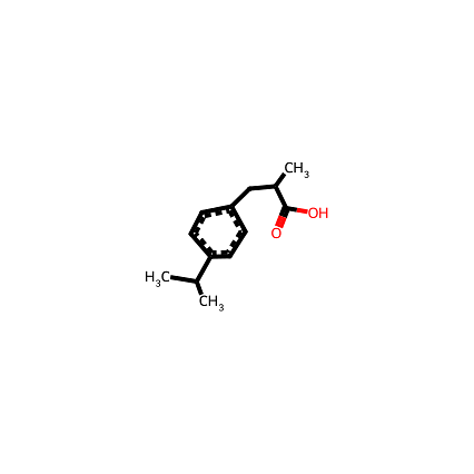 CC(Cc1ccc(C(C)C)cc1)C(=O)O